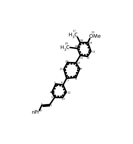 CCC/C=C/c1ccc(-c2ccc(-c3ccc(OC)c(C)c3C)cc2)cc1